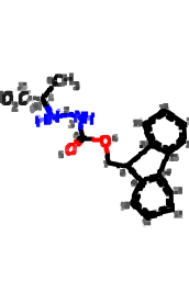 C[C@H](NNC(=O)OCC1c2ccccc2-c2ccccc21)C(=O)O